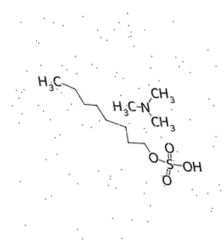 CCCCCCCCOS(=O)(=O)O.CN(C)C